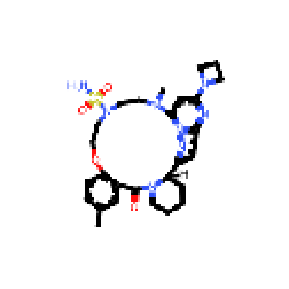 Cc1ccc2c(c1)C(=O)N1CCCC[C@H]1c1cc3nc(N4CCC4)cc(n3n1)N(C)CCN(S(N)(=O)=O)CCO2